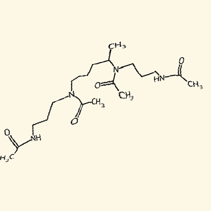 CC(=O)NCCCN(CCCC(C)N(CCCNC(C)=O)C(C)=O)C(C)=O